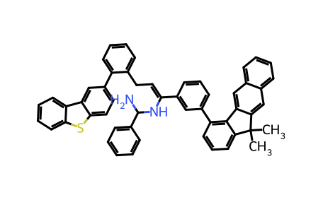 CC1(C)c2cc3ccccc3cc2-c2c(-c3cccc(/C(=C/Cc4ccccc4-c4ccc5sc6ccccc6c5c4)NC(N)c4ccccc4)c3)cccc21